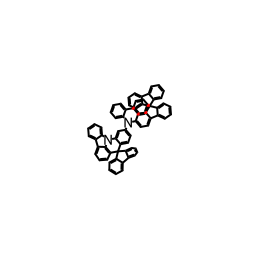 c1ccc(-c2ccccc2N(c2ccc3c(c2)-n2c4ccccc4c4cccc(c42)C32c3ccccc3-c3ccccc32)c2ccc3c(c2)C2(c4ccccc4-c4ccccc42)c2ccccc2-3)cc1